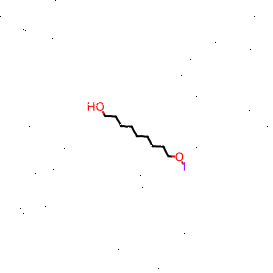 OCCCCCCCCCOI